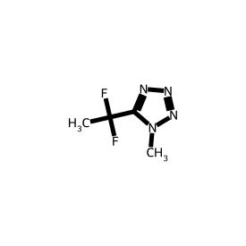 Cn1nnnc1C(C)(F)F